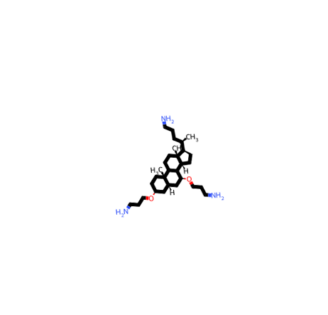 C[C@H](CCCN)[C@H]1CC[C@H]2C3C(CC[C@]12C)[C@@]1(C)CC[C@@H](OCCCN)C[C@@H]1C[C@H]3OCCCN